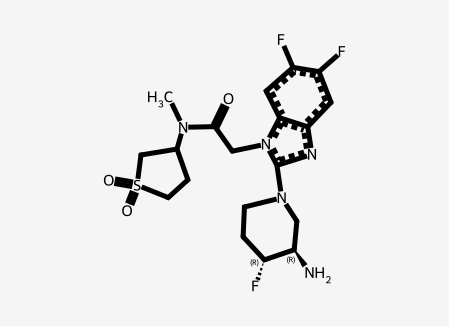 CN(C(=O)Cn1c(N2CC[C@@H](F)[C@H](N)C2)nc2cc(F)c(F)cc21)C1CCS(=O)(=O)C1